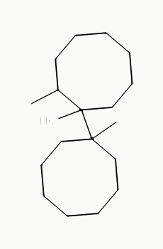 CC1CCCCCCC1(O)C1(C)CCCCCCC1